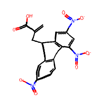 C=C(CC1c2cc([N+](=O)[O-])ccc2-c2c1cc([N+](=O)[O-])cc2[N+](=O)[O-])C(=O)O